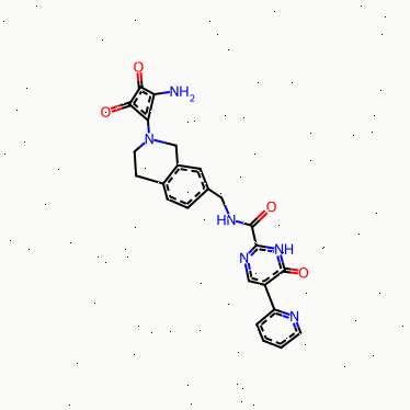 Nc1c(N2CCc3ccc(CNC(=O)c4ncc(-c5ccccn5)c(=O)[nH]4)cc3C2)c(=O)c1=O